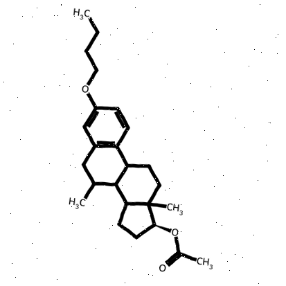 CCCCOc1ccc2c(c1)CC(C)C1C2CCC2(C)C1CC[C@@H]2OC(C)=O